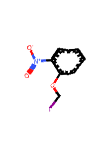 O=[N+]([O-])c1ccccc1OCI